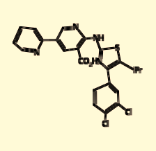 CC(C)c1sc(Nc2ncc(-c3ccccn3)cc2C(=O)O)nc1-c1ccc(Cl)c(Cl)c1